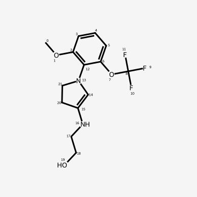 COc1cccc(OC(F)(F)F)c1N1C=C(NCCO)CC1